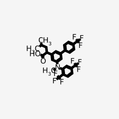 CC(C)CC(C(=O)O)c1cc(-c2ccc(C(F)(F)F)cc2)cc(N(C)c2cc(C(F)(F)F)ccc2C(F)(F)F)c1